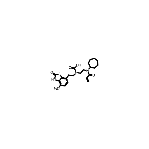 C=CC(=O)N(CCN(CCc1ccc(O)c2[nH]c(=O)sc12)C(=O)O)C1CCCCCC1